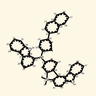 C[Si]1(C)c2cc(N(c3ccc(-c4ccc5ccccc5c4)cc3)c3cccc4c3oc3ccccc34)ccc2-c2c1ccc1oc3ccccc3c21